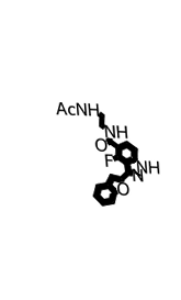 CC(=O)NCCNC(=O)c1ccc2[nH]nc(-c3cc4ccccc4o3)c2c1F